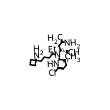 C#C[C@@H](CC(=C)N)N(C1NC(Cl)=CC[C@H]1C)[C@H](CC)CCCC1(N)CCC1